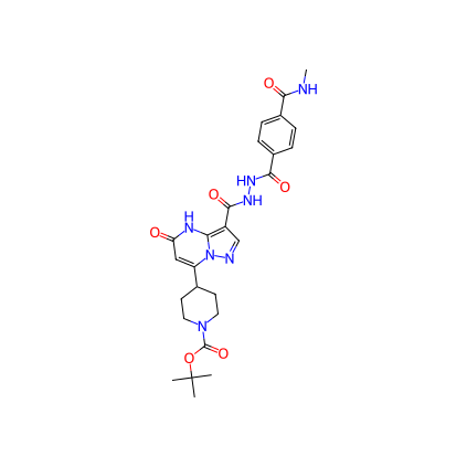 CNC(=O)c1ccc(C(=O)NNC(=O)c2cnn3c(C4CCN(C(=O)OC(C)(C)C)CC4)cc(=O)[nH]c23)cc1